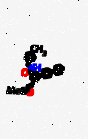 COC(=O)/C=C/c1cc(C(=O)NCc2ccc(C)cc2)cc(-c2ccc(-c3ccccc3)cc2)c1